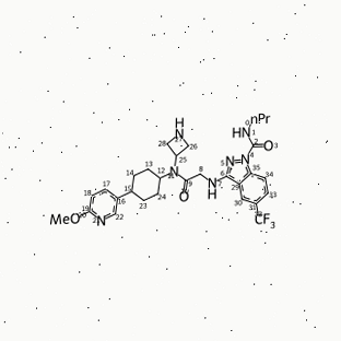 CCCNC(=O)n1nc(NCC(=O)N(C2CCC(c3ccc(OC)nc3)CC2)C2CNC2)c2cc(C(F)(F)F)ccc21